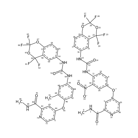 CNC(=O)c1cc(Oc2ccc(NC(=O)Nc3ccc4c(c3)C(F)(F)OC(F)(F)O4)c([N+](=O)[O-])c2)ccn1.CNC(=O)c1cc(Oc2ccc(NC(=O)Nc3ccc4c(c3)C(F)(F)OC(F)(F)O4)cc2C)ccn1